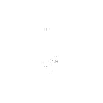 CCCCCCCCCCCCSS(=O)(=O)C(=S)NS(=O)(=O)C(C)(C#N)CCC(=O)O